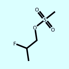 CC(F)COS(C)(=O)=O